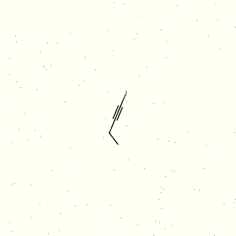 [CH2]CC#CI